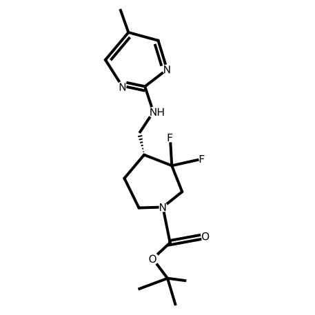 Cc1cnc(NC[C@H]2CCN(C(=O)OC(C)(C)C)CC2(F)F)nc1